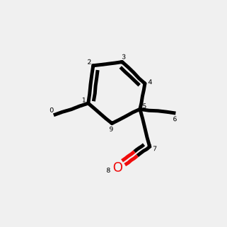 CC1=CC=CC(C)(C=O)C1